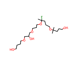 CC(C)(CCCO)OCCCC(C)(F)OCCCOCC(O)COCCCCO